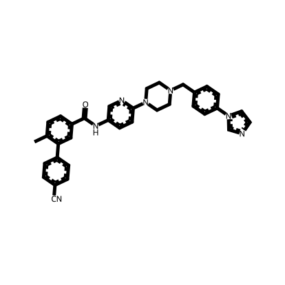 Cc1ccc(C(=O)Nc2ccc(N3CCN(Cc4ccc(-n5ccnc5)cc4)CC3)nc2)cc1-c1ccc(C#N)cc1